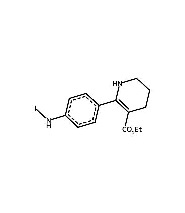 CCOC(=O)C1=C(c2ccc(NI)cc2)NCCC1